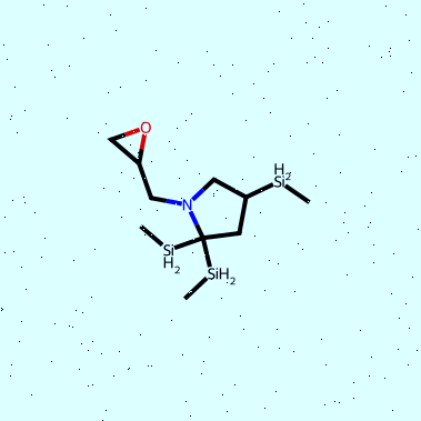 C[SiH2]C1CN(CC2CO2)C([SiH2]C)([SiH2]C)C1